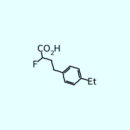 CCc1ccc(CCC(F)C(=O)O)cc1